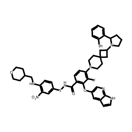 CC(C)c1ccccc1C1CCCN1C1CC2(CCN(c3ccc(C(=O)NSc4ccc(NCC5CCOCC5)c([N+](=O)[O-])c4)c(Oc4cnc5[nH]ccc5c4)c3F)CC2)C1